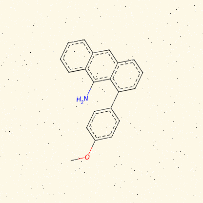 COc1ccc(-c2cccc3cc4ccccc4c(N)c23)cc1